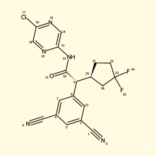 N#Cc1cc(C#N)cc([C@H](C(=O)Nc2cnc(Cl)cn2)[C@H]2CCC(F)(F)C2)c1